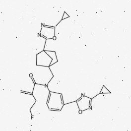 C=C(CCF)C(=O)N(CC12CCC(c3nnc(C4CC4)o3)(CC1)C2)c1cccc(-c2nc(C3CC3)no2)c1